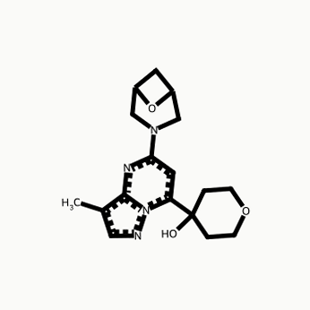 Cc1cnn2c(C3(O)CCOCC3)cc(N3CC4CC(C3)O4)nc12